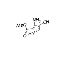 COC(=O)c1[nH]cc(C#N)c1N